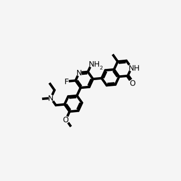 CCN(C)Cc1cc(-c2cc(-c3ccc4c(=O)[nH]cc(C)c4c3)c(N)nc2F)ccc1OC